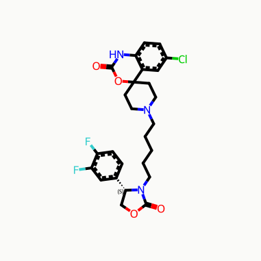 O=C1Nc2ccc(Cl)cc2C2(CCN(CCCCCN3C(=O)OC[C@@H]3c3ccc(F)c(F)c3)CC2)O1